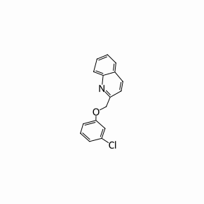 Clc1cccc(OCc2ccc3ccccc3n2)c1